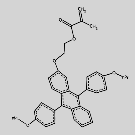 C=C(C)C(=O)OCCOc1ccc2c(-c3ccc(OCCC)cc3)c3ccccc3c(-c3ccc(OCCC)cc3)c2c1